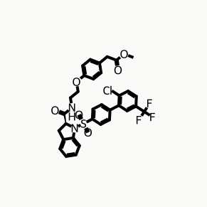 COC(=O)Cc1ccc(OCCNC(=O)[C@@H]2Cc3ccccc3N2S(=O)(=O)c2ccc(-c3cc(C(F)(F)F)ccc3Cl)cc2)cc1